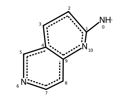 [NH]c1ccc2cnccc2n1